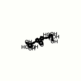 OCC1OC(C#Cc2ccc3c(c2)C2(CCOCC2)c2cc(C#CC4OC(CO)[C@@H](O)C(O)C4O)ccc2-3)C(O)C(O)[C@@H]1O